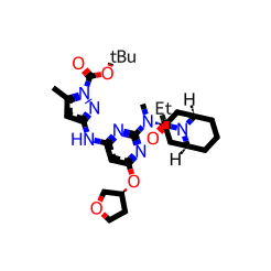 CCC(=O)N1[C@@H]2CCC[C@H]1C[C@H](N(C)c1nc(Nc3cc(C)n(C(=O)OC(C)(C)C)n3)cc(O[C@@H]3CCOC3)n1)C2